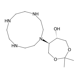 CC1(C)OC[C@@H](O)[C@H](N2CCNCCNCCNCC2)CO1